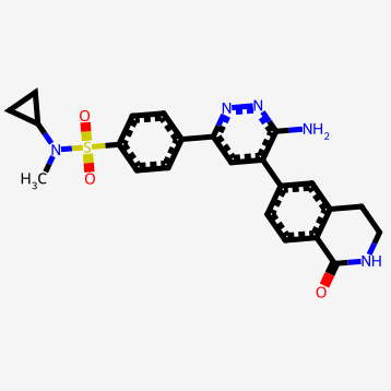 CN(C1CC1)S(=O)(=O)c1ccc(-c2cc(-c3ccc4c(c3)CCNC4=O)c(N)nn2)cc1